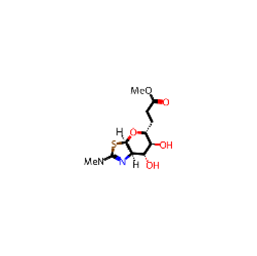 CNC1=N[C@@H]2[C@@H](O)[C@H](O)[C@@H](CCC(=O)OC)O[C@@H]2S1